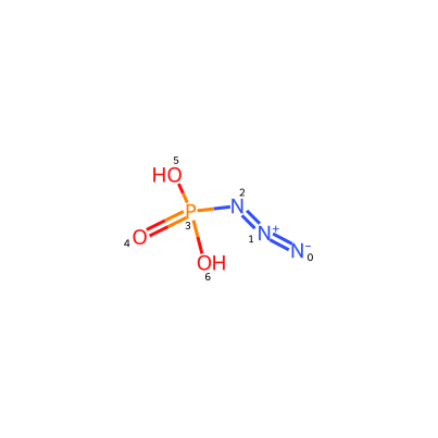 [N-]=[N+]=NP(=O)(O)O